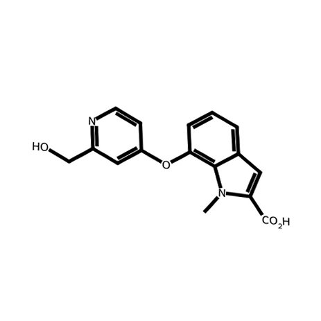 Cn1c(C(=O)O)cc2cccc(Oc3ccnc(CO)c3)c21